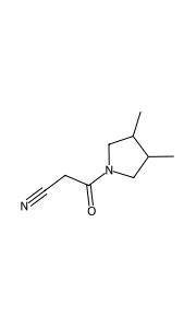 CC1CN(C(=O)CC#N)CC1C